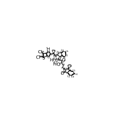 CN(C(=O)[C@@H](O)CCN1C(=O)c2ccccc2C1=O)[C@H]1c2ccccc2C[C@H]1NC(=O)c1cc2sc(Cl)c(Cl)c2[nH]1